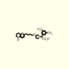 Cc1cc(C)cc(C(C(=O)O)N2CC[C@@H](OCCCCc3ccc4c(n3)CCCN4)C2)c1